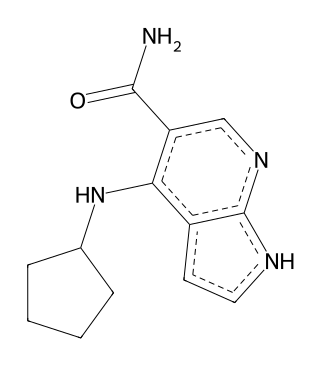 NC(=O)c1cnc2[nH]ccc2c1NC1CCCC1